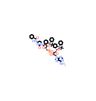 CC(C)(C)[Si](OC[C@H]1O[C@@H](n2cnc3c(N)ncnc32)C[C@@H]1O[P@@](O)(=S)OC[C@H]1O[C@@H](n2ccc(NC(=O)c3ccccc3)nc2=O)C[C@@H]1O[Si](c1ccccc1)(c1ccccc1)C(C)(C)C)(c1ccccc1)c1ccccc1